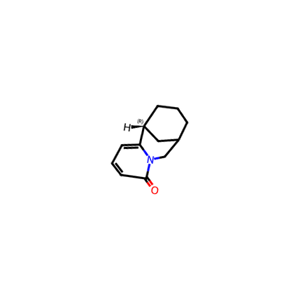 O=c1cccc2n1CC1CCC[C@@H]2C1